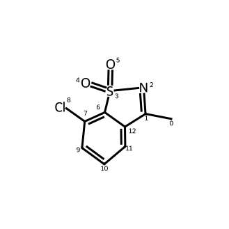 CC1=NS(=O)(=O)c2c(Cl)cccc21